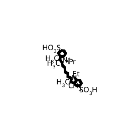 CCN1\C(=C/C=C/C=C/C2=[N+](C(C)C)c3ccc(S(=O)(=O)O)cc3C2(C)C)C(C)(C)c2cc(S(=O)(=O)O)ccc21